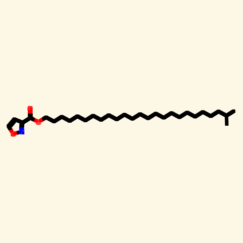 CC(C)CCCCCCCCCCCCCCCCCCCCCCCOC(=O)c1ccon1